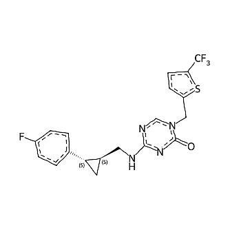 O=c1nc(NC[C@H]2C[C@@H]2c2ccc(F)cc2)ncn1Cc1ccc(C(F)(F)F)s1